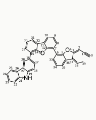 C#C/C=c1/oc2c(-c3cccc4c3oc3c(-c5ccc6[nH]c7ccccc7c6c5)cccc34)cccc2/c1=C/C